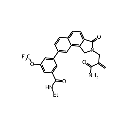 C=C(CN1Cc2c(ccc3ccc(-c4cc(OC(F)(F)F)cc(C(=O)NCC)c4)cc23)C1=O)C(N)=O